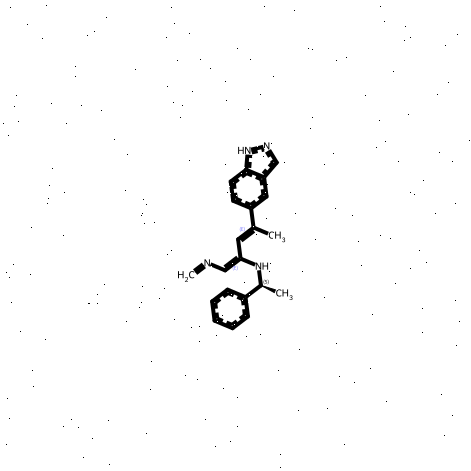 C=N/C=C(\C=C(/C)c1ccc2[nH]ncc2c1)N[C@@H](C)c1ccccc1